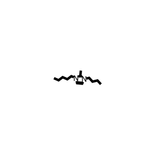 CCCCCN1C=CN(CCCC)C1C